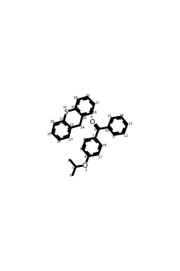 CC(C)Oc1ccc(C(=O)c2ccccc2)cc1.c1ccc2c(c1)Cc1ccccc1S2